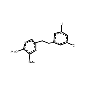 COc1ncc(CCc2cc(Cl)cc(Cl)c2)nc1OC